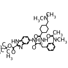 CC(=O)N(C)c1cccc(C[C@H](NC(=O)C2CCC(CN(C)C)CC2)C(=O)Nc2ccc3[nH]c(C(=O)OC(C)(C)C)nc3c2)c1